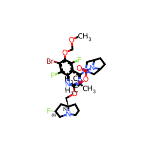 COCOc1c(Br)c(F)c2nc(OC[C@@]34CCCN3C[C@H](F)C4)nc(N3CC4CCC(C3)N4C(=O)OC(C)(C)C)c2c1F